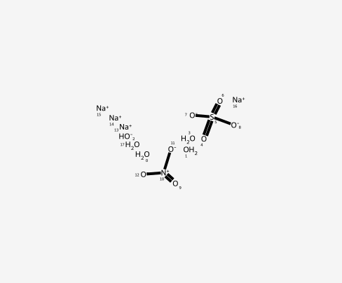 O.O.O.O.O=S(=O)([O-])[O-].O=[N+]([O-])[O-].[Na+].[Na+].[Na+].[Na+].[OH-]